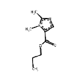 CCCOC(=O)c1cnc(C)n1C